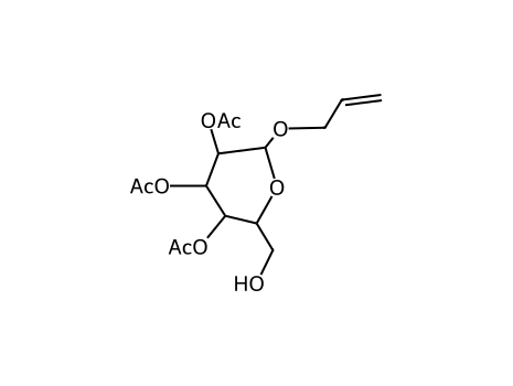 C=CCOC1OC(CO)C(OC(C)=O)C(OC(C)=O)C1OC(C)=O